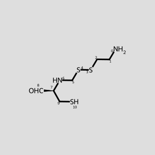 NCCSSCN[C@H](C=O)CS